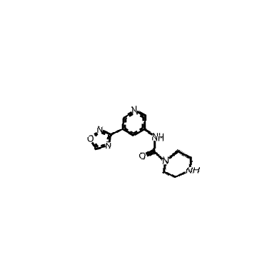 O=C(Nc1cncc(-c2ncon2)c1)N1CCNCC1